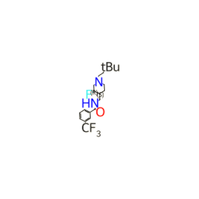 CC(C)(C)CCN1CC[C@@H](CNC(=O)c2cccc(C(F)(F)F)c2)[C@@H](F)C1